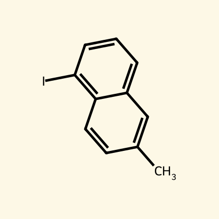 Cc1ccc2c(I)cccc2c1